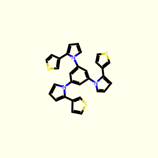 c1cc(-c2ccsc2)n(-c2cc(-n3cccc3-c3ccsc3)cc(-n3cccc3-c3ccsc3)c2)c1